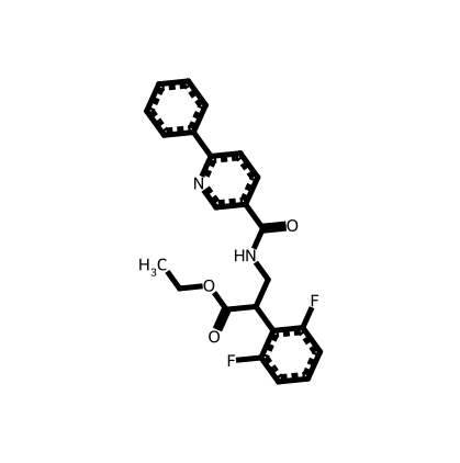 CCOC(=O)C(CNC(=O)c1ccc(-c2ccccc2)nc1)c1c(F)cccc1F